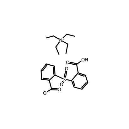 CC[N+](CC)(CC)CC.O=C([O-])c1ccccc1S(=O)(=O)c1ccccc1C(=O)O